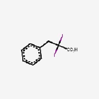 O=C(O)C(I)(I)Cc1ccccc1